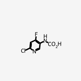 O=C(O)Nc1cnc(Cl)cc1F